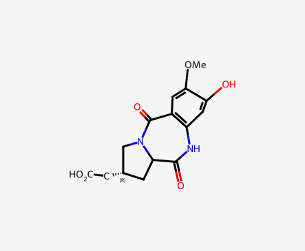 COc1cc2c(cc1O)NC(=O)C1C[C@H](CC(=O)O)CN1C2=O